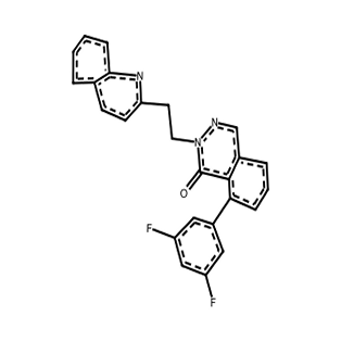 O=c1c2c(-c3cc(F)cc(F)c3)cccc2cnn1CCc1ccc2ccccc2n1